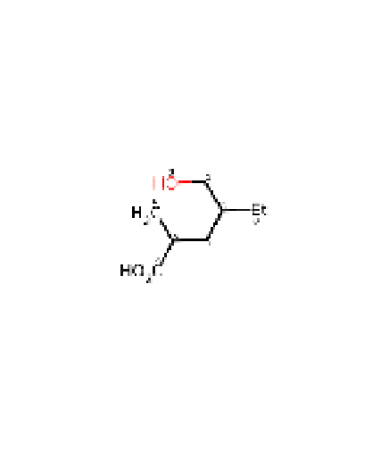 CCC(CO)CC(C)C(=O)O